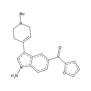 CCC(C)N1CC=C(c2cn(N)c3ccc(C(=O)c4ccco4)cc23)CC1